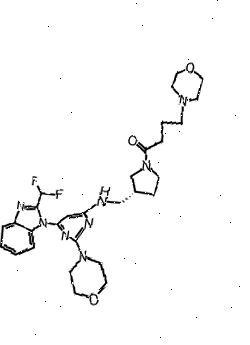 O=C(CCCN1CCOCC1)N1CC[C@H](CNc2cc(-n3c(C(F)F)nc4ccccc43)nc(N3CCOCC3)n2)C1